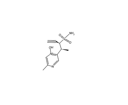 C#C[C@H]([C@@H](C)c1cnc(C)c[n+]1O)S(N)(=O)=O